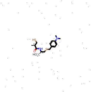 C[C@@H](CS)C(=O)N[C@@H](CSCc1ccc(N(C)C)cc1)C(=O)O